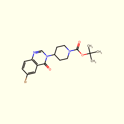 CC(C)(C)OC(=O)N1CCC(n2cnc3ccc(Br)cc3c2=O)CC1